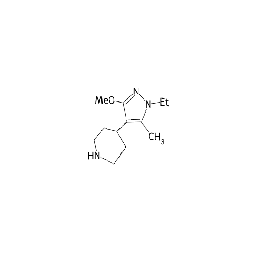 CCn1nc(OC)c(C2CCNCC2)c1C